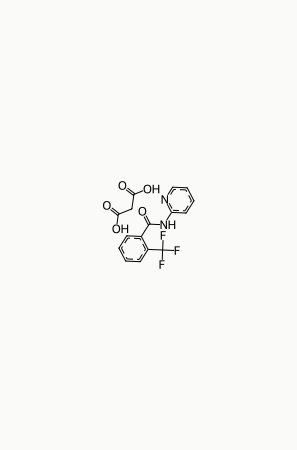 O=C(Nc1ccccn1)c1ccccc1C(F)(F)F.O=C(O)CC(=O)O